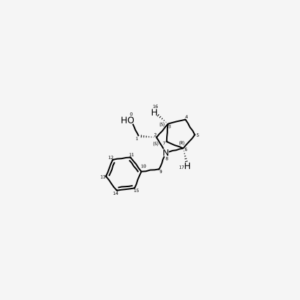 OC[C@@H]1[C@H]2CC[C@H](C2)N1Cc1ccccc1